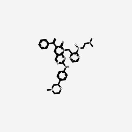 C=C(c1ccccc1)c1cc2cnc(Nc3ccc(C4CN(C)CCO4)cc3)nc2n(Cc2nccnc2[S+]([O-])CCN(C)C)c1=O